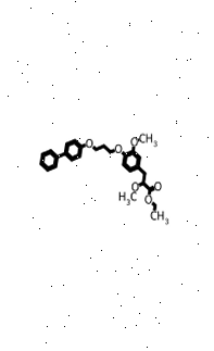 CCOC(=O)C(Cc1ccc(OCCCOc2ccc(-c3ccccc3)cc2)c(OC)c1)OC